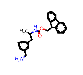 CC(Cc1cccc(CN)c1)NC(=O)OCC1c2ccccc2-c2ccccc21